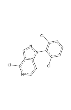 Clc1cccc(Cl)c1-n1ncc2c(Cl)nccc21